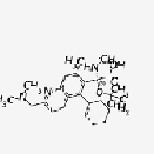 [CH2]N[C@@](OC(C)(C)C)(C(=O)O)c1c(C)cc2nc(CN(C)C)ccc2c1C1=CCCCC1